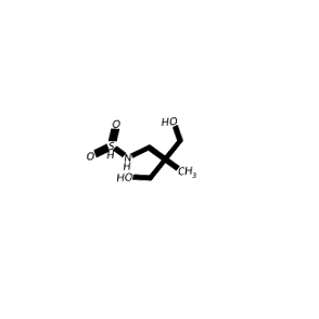 CC(CO)(CO)CN[SH](=O)=O